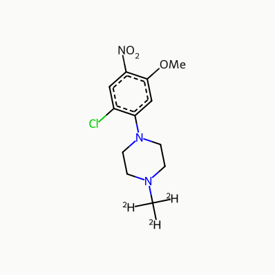 [2H]C([2H])([2H])N1CCN(c2cc(OC)c([N+](=O)[O-])cc2Cl)CC1